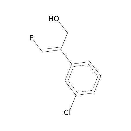 OCC(=CF)c1cccc(Cl)c1